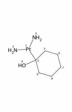 [NH2][Pt]([NH2])[C]1(O)CCCCC1